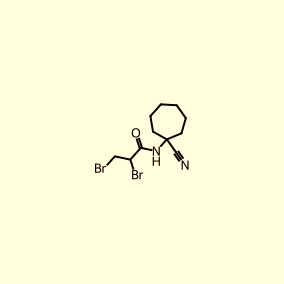 N#CC1(NC(=O)C(Br)CBr)CCCCCC1